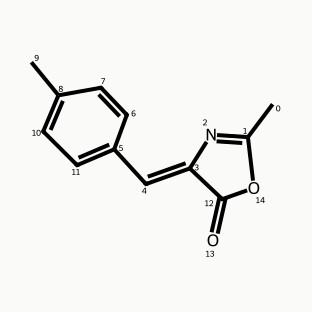 CC1=N/C(=C\c2ccc(C)cc2)C(=O)O1